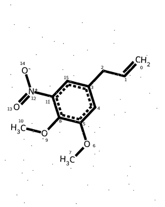 C=CCc1cc(OC)c(OC)c([N+](=O)[O-])c1